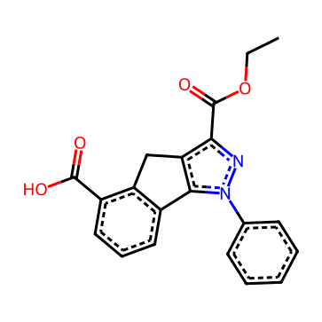 CCOC(=O)c1nn(-c2ccccc2)c2c1Cc1c(C(=O)O)cccc1-2